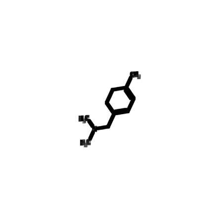 CC1=CC=C(CN(C)C)CC1